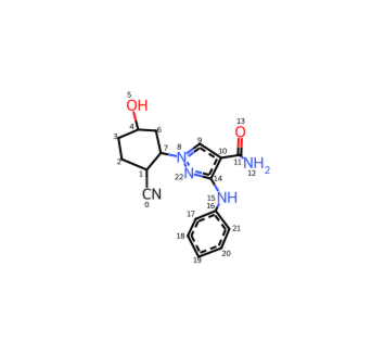 N#CC1CCC(O)CC1n1cc(C(N)=O)c(Nc2ccccc2)n1